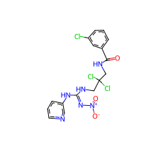 O=C(NCC(Cl)(Cl)CNC(=N[N+](=O)[O-])Nc1cccnc1)c1cccc(Cl)c1